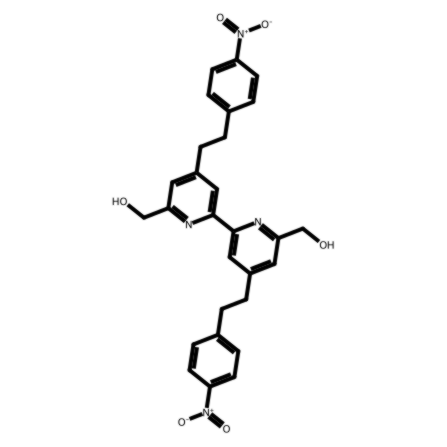 O=[N+]([O-])c1ccc(CCc2cc(CO)nc(-c3cc(CCc4ccc([N+](=O)[O-])cc4)cc(CO)n3)c2)cc1